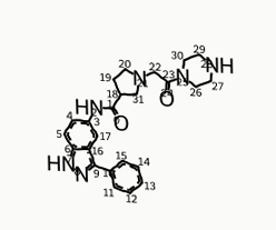 O=C(Nc1ccc2[nH]nc(-c3ccccc3)c2c1)C1CCN(CC(=O)N2CCNCC2)C1